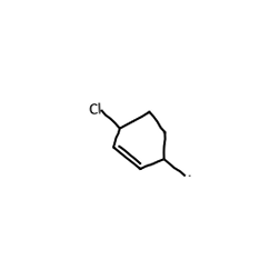 [CH2]C1C=CC(Cl)CC1